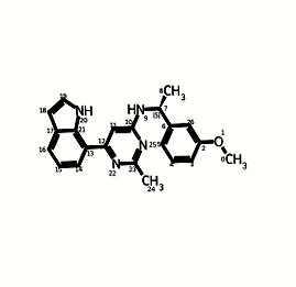 COc1cccc([C@H](C)Nc2cc(-c3cccc4cc[nH]c34)nc(C)n2)c1